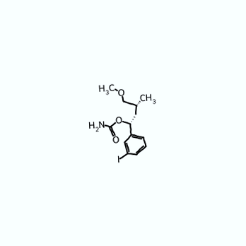 COC[C@H](C)C[C@@H](OC(N)=O)c1cccc(I)c1